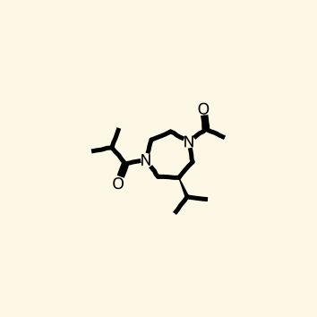 CC(=O)N1CCN(C(=O)C(C)C)C[C@H](C(C)C)C1